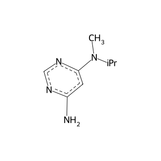 CC(C)N(C)c1cc(N)ncn1